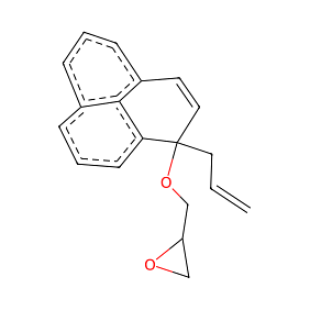 C=CCC1(OCC2CO2)C=Cc2cccc3cccc1c23